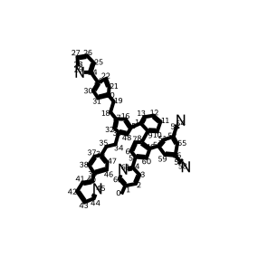 Cc1ccc(-c2ccc(-c3ccccc3-c3cc(CCc4ccc(-c5ccccn5)cc4)cc(CCc4ccc(-c5ccccn5)cc4)c3)c(-c3cc(C#N)cc(C#N)c3)c2)nc1